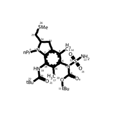 CCCN1c2c(c(C)c(N(C(=O)OC(C)(C)C)S(N)(=O)=O)c(C)c2NC(=O)C(C)(C)C)CC1CSC